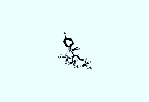 CS(=O)(=O)OCCN(N(S(C)(=O)=O)S(C)(=O)=O)S(=O)(=O)c1ccc(Cl)cc1